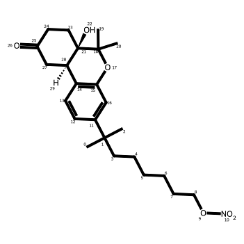 CC(C)(CCCCCCO[N+](=O)[O-])c1ccc2c(c1)OC(C)(C)[C@@]1(O)CCC(=O)C[C@H]21